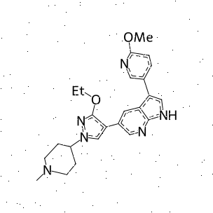 CCOc1nn(C2CCN(C)CC2)cc1-c1cnc2[nH]cc(-c3ccc(OC)nc3)c2c1